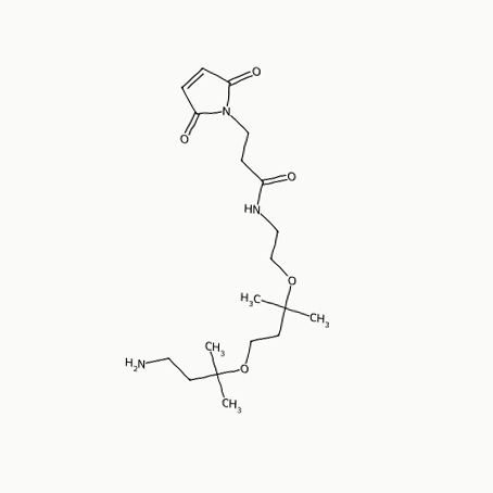 CC(C)(CCN)OCCC(C)(C)OCCNC(=O)CCN1C(=O)C=CC1=O